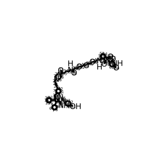 N=c1c2c(-c3ccccc3)c(-c3ccccc3)n(Cc3cccc(C#CCN4CCN(C(=O)CCCNC(=O)CCOCCOCCOCCNc5cccc6c5C(=O)N(C5CCC(=O)NC5=O)C6=O)CC4)c3)c2ncn1C1CCC(O)CC1